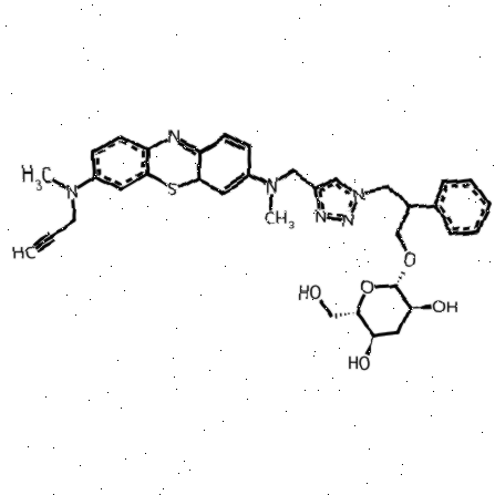 C#CCN(C)c1ccc2c(c1)SC1C=C(N(C)Cc3cn(CC(CO[C@H]4O[C@@H](CO)[C@H](O)C[C@@H]4O)c4ccccc4)nn3)C=CC1=N2